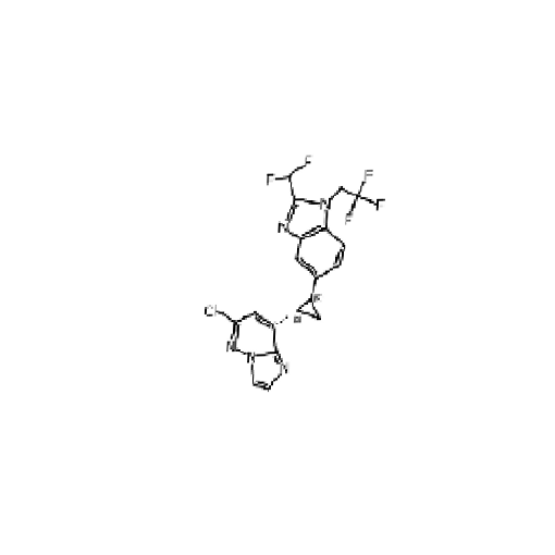 FC(F)c1nc2cc([C@H]3C[C@@H]3c3cc(Cl)nn4ccnc34)ccc2n1CC(F)(F)F